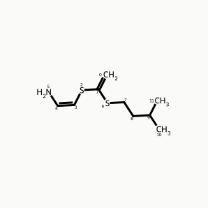 C=C(S/C=C\N)SCCC(C)C